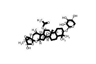 CC(=O)O[C@@H]1C[C@@]23C[C@@]24CC[C@H](O[C@@H]2OC[C@@H](O)[C@H](O)[C@H]2O)C(C)(C)C4CC[C@H]3[C@]2(C)C[C@@H]3O[C@]4(C[C@@H](C)[C@@H]3[C@@]12C)O[C@H](O)[C@@]1(C)O[C@@H]41